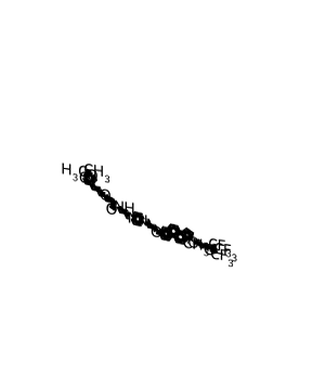 CC1(C)OCC(CCCOC=CC(=O)NCCCN2CCN(CCCOc3ccc4c(c3)CCC3C4CC[C@@]4(C)C3CC[C@@H]4OCCCOC(C(F)(F)F)(C(F)(F)F)C(F)(F)F)CC2)CO1